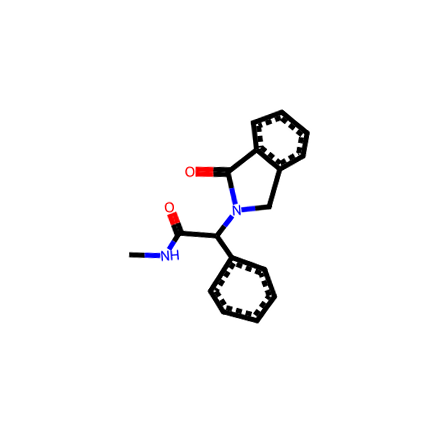 CNC(=O)C(c1ccccc1)N1Cc2ccccc2C1=O